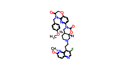 COc1ccc(CN2C(=O)COc3ccc(N4C[C@@H]5CCN(CCc6c(F)cnc7ccc(OC)nc67)C[C@H]5OC4=O)nc32)cc1